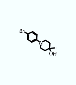 [CH2]C1(O)CCN(c2ccc(Br)cc2)CC1